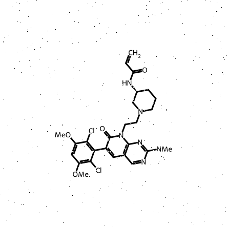 C=CC(=O)N[C@H]1CCCN(CCn2c(=O)c(-c3c(Cl)c(OC)cc(OC)c3Cl)cc3cnc(NC)nc32)C1